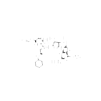 COc1nc(N)nc2c1nc(I)n2[C@@H]1O[C@H](COP(=O)(N[C@@H](C)C(=O)OCC(C)(C)C)N[C@@H](C)C(=O)OC2CCCCC2)[C@@H](O)[C@@]1(C)O